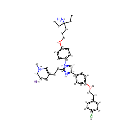 CCC(N)(CC)CCCOc1ccc(-n2cc(-c3ccc(OCCc4ccc(Cl)cc4)cc3)nc2CCC2=CN(C)CC=C2)cc1.I